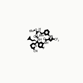 CC(C)(C)OC(=O)NCc1cccc(-n2nc(C(F)(F)F)cc2C(=O)Nc2cc([C@@](CCC3CC3)(N[S@+]([O-])C(C)(C)C)c3cccc(C#N)n3)ccc2F)c1